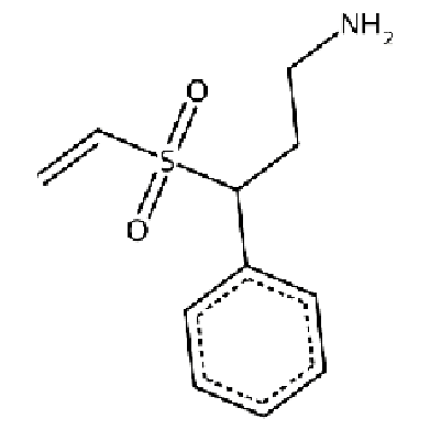 C=CS(=O)(=O)C(CCN)c1ccccc1